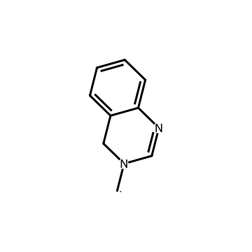 [CH2]N1C=Nc2ccccc2C1